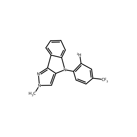 [2H]c1cc(C(F)(F)F)ccc1-n1c2ccccc2c2nn(C)cc21